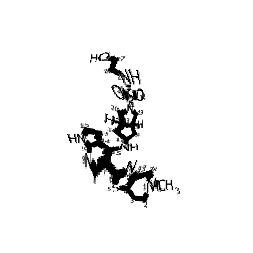 CN1CCc2sc(-c3cnc4[nH]ccc4c3NC3C[C@@H]4CN(S(=O)(=O)NCCO)C[C@@H]4C3)nc2C1